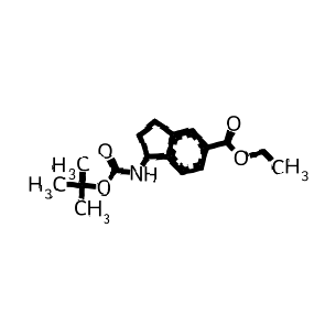 CCOC(=O)c1ccc2c(c1)CCC2NC(=O)OC(C)(C)C